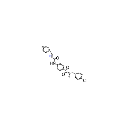 O=C(/C=C/c1ccncc1)Nc1ccc(S(=O)(=O)NCc2ccc(Cl)cc2)cc1